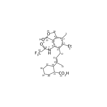 CCc1c(C)c2c(c(NC(=O)C(F)(F)F)c1C/C=C(\C)C1CCCCC1C(=O)O)C(=O)OC2